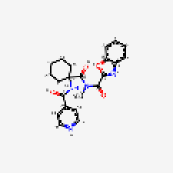 CCCCN(C(=O)c1nc2ccccc2o1)C(=O)C1(NC(=O)c2ccncc2)CCCCC1